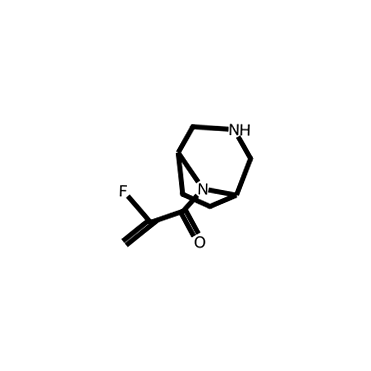 C=C(F)C(=O)N1C2CCC1CNC2